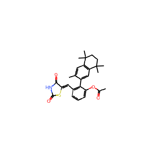 CC(=O)Oc1cccc(C=C2SC(=O)NC2=O)c1-c1cc2c(cc1C)C(C)(C)CCC2(C)C